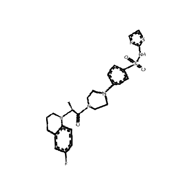 C[C@@H](C(=O)N1CCN(c2ccc(S(=O)(=O)Nc3nccs3)cc2)CC1)N1CCCc2cc(F)ccc21